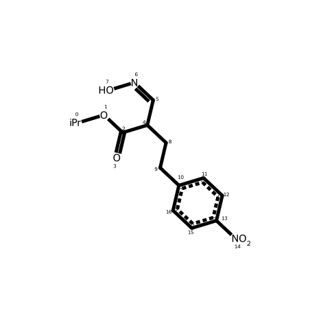 CC(C)OC(=O)C(/C=N\O)CCc1ccc([N+](=O)[O-])cc1